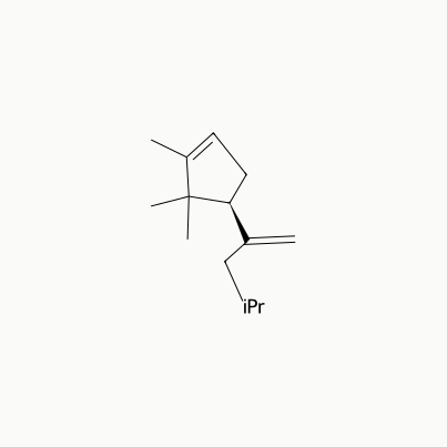 C=C(CC(C)C)[C@@H]1CC=C(C)C1(C)C